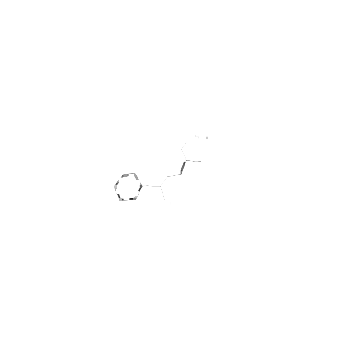 CCCCCCCCCC/C(=C\CC(CC)c1ccccc1)C(=O)O